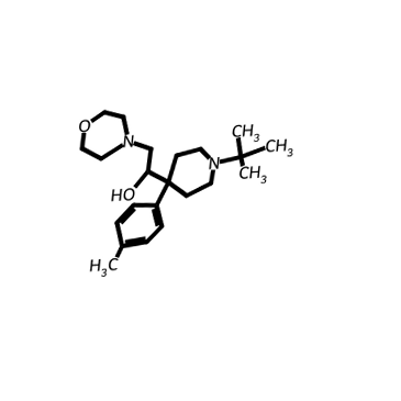 Cc1ccc(C2(C(O)CN3CCOCC3)CCN(C(C)(C)C)CC2)cc1